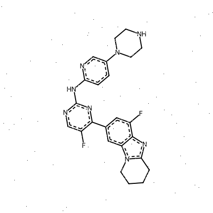 Fc1cnc(Nc2ccc(N3CCNCC3)cn2)nc1-c1cc(F)c2nc3n(c2c1)CCCC3